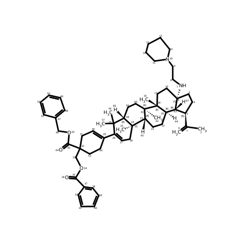 C=C(C)[C@@H]1CC[C@]2(NCCN3CCCCC3)CC[C@]3(C)[C@H](CC[C@@H]4[C@@]5(C)CC=C(C6=CCC(COC(=O)c7ccccc7)(C(=O)OCc7ccccc7)CC6)C(C)(C)[C@@H]5CC[C@]43C)[C@@H]12